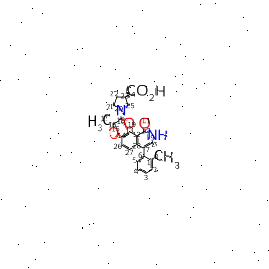 Cc1ccccc1-c1c[nH]c(=O)c2cc(O[C@H](C)C(=O)N3CC[C@H](C(=O)O)C3)ccc12